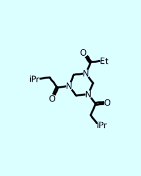 CCC(=O)N1CN(C(=O)CC(C)C)CN(C(=O)CC(C)C)C1